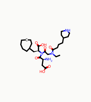 CCN(CC(=O)N(C(=O)[C@@H](N)CC(=O)O)[C@@H](CC1CCCCCCC1)C(=O)O)C(=O)CCCC1CCNCC1